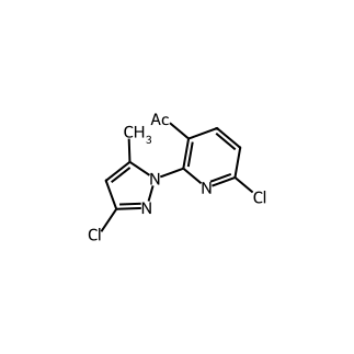 CC(=O)c1ccc(Cl)nc1-n1nc(Cl)cc1C